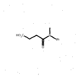 CC(C)N(C)C(=O)CCC(=O)O